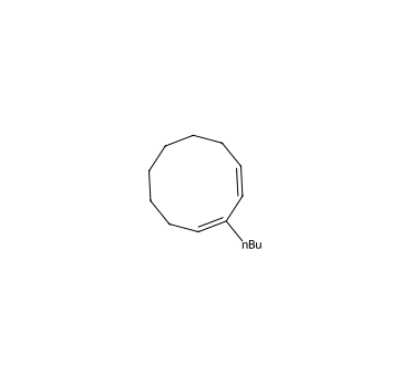 CCCCC1=CCCCCCCC=C1